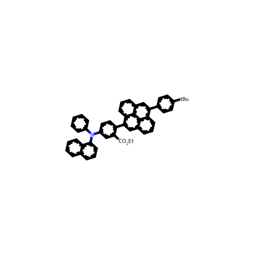 CCOC(=O)c1cc(N(c2ccccc2)c2cccc3ccccc23)ccc1-c1cc2cccc3c(-c4ccc(C(C)(C)C)cc4)cc4cccc1c4c23